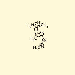 CCNc1cc(-c2nc(C)cc3c(-n4cnc(-c5cnn(C)c5)c4)cccc23)ccc1C(N)=O